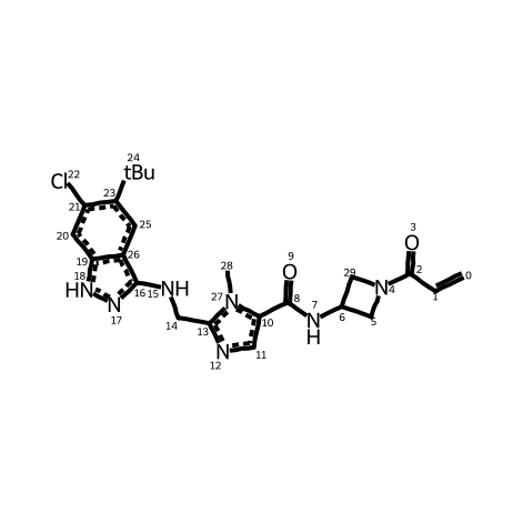 C=CC(=O)N1CC(NC(=O)c2cnc(CNc3n[nH]c4cc(Cl)c(C(C)(C)C)cc34)n2C)C1